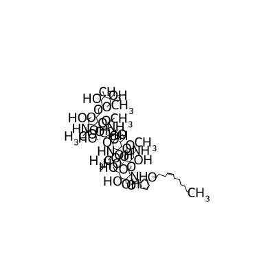 CCCCCC/C=C\CCCOc1cccc(C(=O)NC2[C@H](O[C@H]3C(O)C(NC(C)=O)C(OC4C(CO)O[C@@H](O[C@H]5C(O)C(NC(C)=O)C(OC6C(CO[C@@H]7OC(C)C(O)[C@H](C)[C@H]7O)OC(O)[C@@H](NC(C)=O)[C@H]6O)O[C@H]5CO)[C@@H](NC(C)=O)[C@H]4O)O[C@H]3CO)OC(CO)[C@@H](O)[C@@H]2O)c1